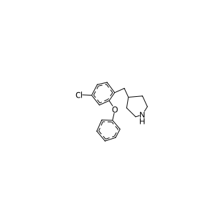 Clc1ccc(CC2CCNCC2)c(Oc2ccccc2)c1